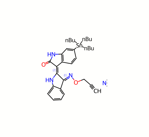 C#CCO/N=C1/C(=C2/C(=O)Nc3c[c]([Sn]([CH2]CCC)([CH2]CCC)[CH2]CCC)ccc32)Nc2ccccc21.[N]